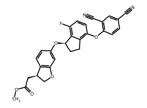 COC(=O)C[C@@H]1COc2cc(O[C@@H]3CCc4c(Oc5ccc(C#N)cc5C#N)ccc(F)c43)ccc21